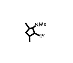 CNC1C(C)CC(C)C1C(C)C